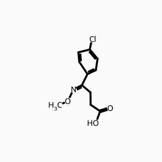 CO/N=C(\CCC(=O)O)c1ccc(Cl)cc1